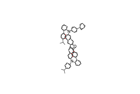 CC(C)c1ccc(-c2ccccc2N(c2ccc(-c3ccccc3)cc2)c2ccc3cc4c(cc3c2)oc2cc3cc(N(c5ccc(C(C)C)cc5)c5ccccc5-c5ccc(C(C)C)cc5)ccc3cc24)cc1